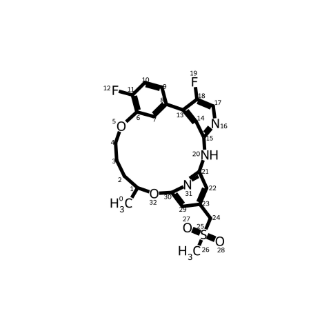 CC1CCCOc2cc(ccc2F)-c2cc(ncc2F)Nc2cc(CS(C)(=O)=O)cc(n2)O1